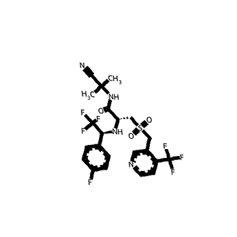 CC(C)(C#N)NC(=O)[C@H](CS(=O)(=O)Cc1cnccc1C(F)(F)F)N[C@@H](c1ccc(F)cc1)C(F)(F)F